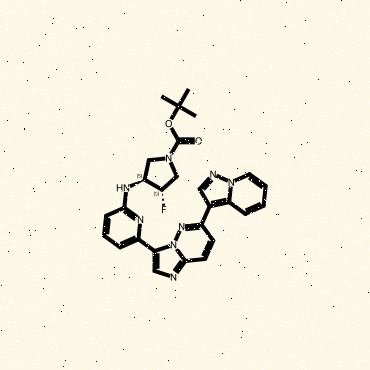 CC(C)(C)OC(=O)N1C[C@H](Nc2cccc(-c3cnc4ccc(-c5cnn6ccccc56)nn34)n2)[C@@H](F)C1